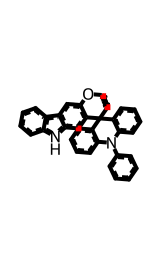 c1ccc(N2c3ccccc3C3(c4ccccc4Oc4cc5c(cc43)[nH]c3ccccc35)c3ccccc32)cc1